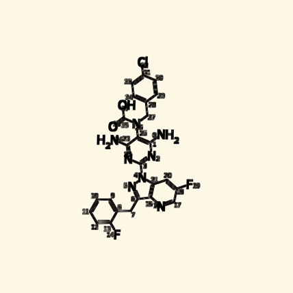 Nc1nc(-n2nc(Cc3ccccc3F)c3ncc(F)cc32)nc(N)c1N(Cc1ccc(Cl)cc1)C(=O)O